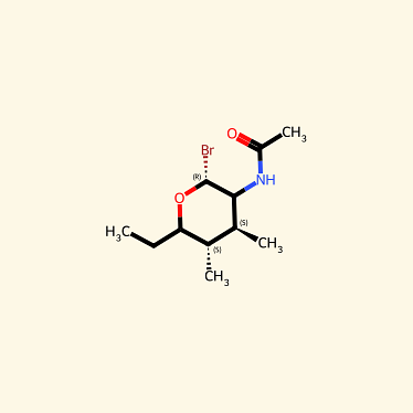 CCC1O[C@H](Br)C(NC(C)=O)[C@@H](C)[C@@H]1C